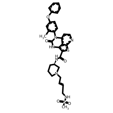 Cc1cc(Oc2ccccc2)ccc1N1C(=O)Nc2c(C(=O)N[C@@H]3CCCN(C/C=C/CNS(C)(=O)=O)C3)sc3nccc1c23